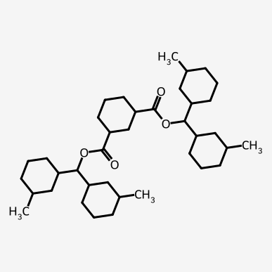 CC1CCCC(C(OC(=O)C2CCCC(C(=O)OC(C3CCCC(C)C3)C3CCCC(C)C3)C2)C2CCCC(C)C2)C1